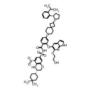 CC(C)c1ccccc1[C@H]1CCCN1C1CC2(CCN(c3ccc(C(=O)NS(=O)(=O)c4cc5c(c([N+](=O)[O-])c4)N[C@@H](C4CCC(C)(C)CC4)CO5)c(Oc4cc5cc[nH]c5nc4OCCO)c3)CC2)C1